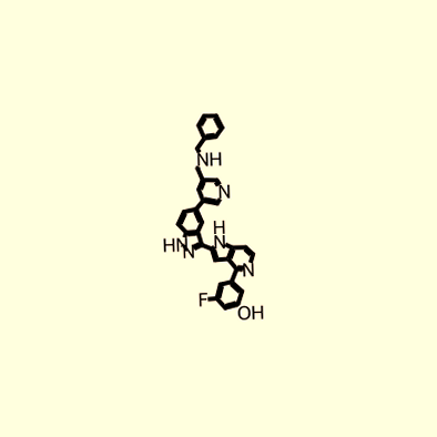 Oc1cc(F)cc(-c2nccc3[nH]c(-c4n[nH]c5ccc(-c6cncc(CNCc7ccccc7)c6)cc45)cc23)c1